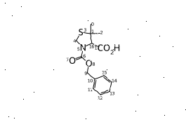 CC1(C)SCN(C(=O)OCc2ccccc2)C1C(=O)O